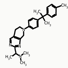 Cc1ccc(C(C)(C)c2ccc(N3CCc4cnc(C(C)N(C)C)nc4C3)cc2)cc1